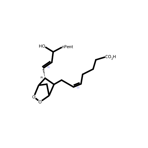 CCCCCC(O)/C=C/[C@H]1C2CC(OO2)C1C/C=C\CCCC(=O)O